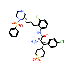 N[C@H](C(=O)Nc1cccc(F)c1CCC[C@H]1CNCCN1S(=O)(=O)c1ccccc1)[C@@H](c1ccc(Cl)cc1)C1CCS(=O)(=O)CC1